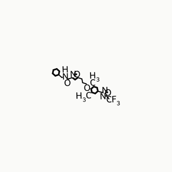 Cc1cc(-c2noc(C(F)(F)F)n2)cc(C)c1OCCCc1cc(C(=O)NCc2ccccc2)no1